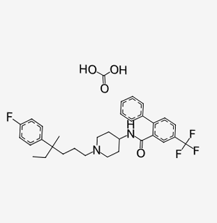 CCC(C)(CCCN1CCC(NC(=O)c2cc(C(F)(F)F)ccc2-c2ccccc2)CC1)c1ccc(F)cc1.O=C(O)O